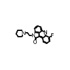 O=C1c2c3cccc(F)c3nc3cccc(c23)N1CCN1CCCCC1